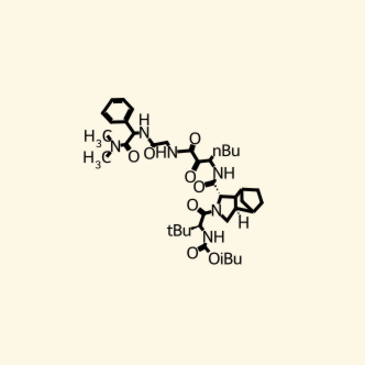 CCCCC(NC(=O)[C@@H]1C2C3CCC(C3)[C@H]2CN1C(=O)[C@@H](NC(=O)OCC(C)C)C(C)(C)C)C(=O)C(=O)NCC(=O)NC(C(=O)N(C)C)c1ccccc1